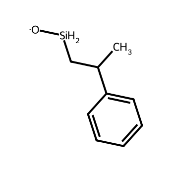 CC(C[SiH2][O])c1ccccc1